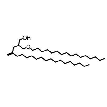 C=C(CCCCCCCCCCCCCCCC)CC(CO)COCCCCCCCCCCCCCCCC